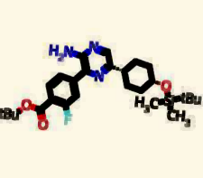 CC(C)(C)OC(=O)c1ccc(-c2nc([C@H]3CC[C@@H](O[Si](C)(C)C(C)(C)C)CC3)cnc2N)cc1F